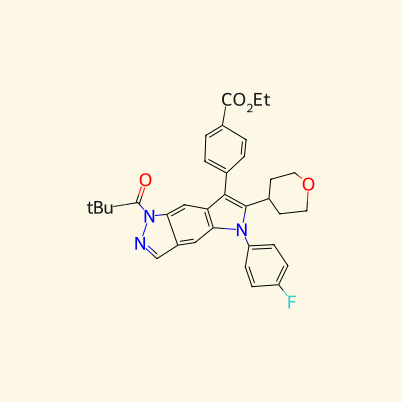 CCOC(=O)c1ccc(-c2c(C3CCOCC3)n(-c3ccc(F)cc3)c3cc4cnn(C(=O)C(C)(C)C)c4cc23)cc1